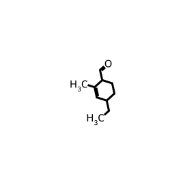 CCC1C=C(C)C(C=O)CC1